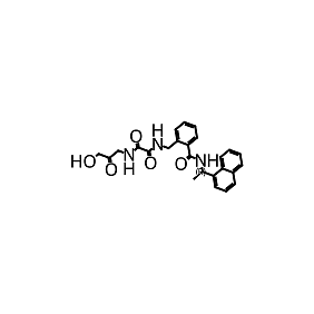 C[C@@H](NC(=O)c1ccccc1CNC(=O)C(=O)NCC(=O)CO)c1cccc2ccccc12